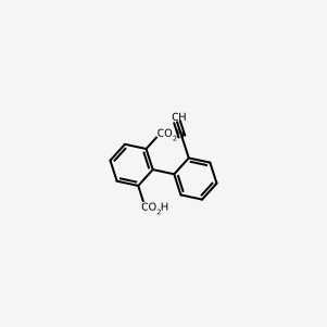 C#Cc1ccccc1-c1c(C(=O)O)cccc1C(=O)O